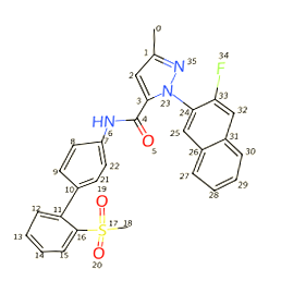 Cc1cc(C(=O)Nc2ccc(-c3ccccc3S(C)(=O)=O)cc2)n(-c2cc3ccccc3cc2F)n1